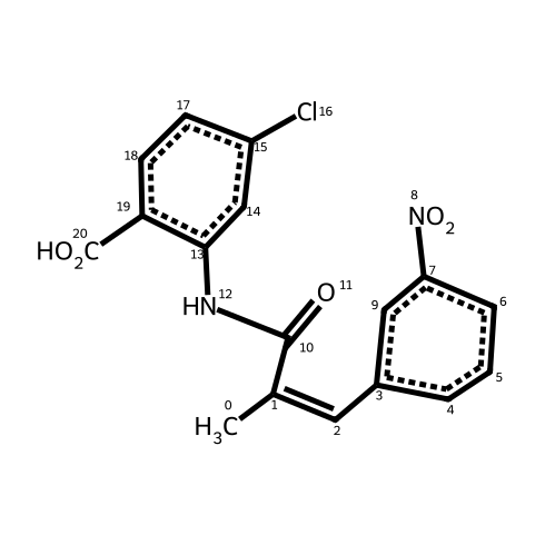 CC(=Cc1cccc([N+](=O)[O-])c1)C(=O)Nc1cc(Cl)ccc1C(=O)O